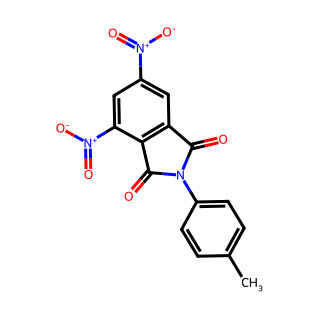 Cc1ccc(N2C(=O)c3cc([N+](=O)[O-])cc([N+](=O)[O-])c3C2=O)cc1